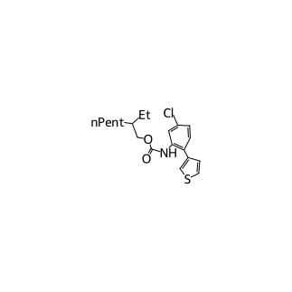 CCCCCC(CC)COC(=O)Nc1cc(Cl)ccc1-c1ccsc1